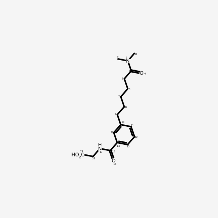 CN(C)C(=O)CCCCCc1cccc(C(=O)NCC(=O)O)c1